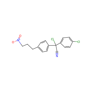 N#CC(Cl)(c1ccc(Cl)cc1)c1ccc(CCC[N+](=O)[O-])cc1